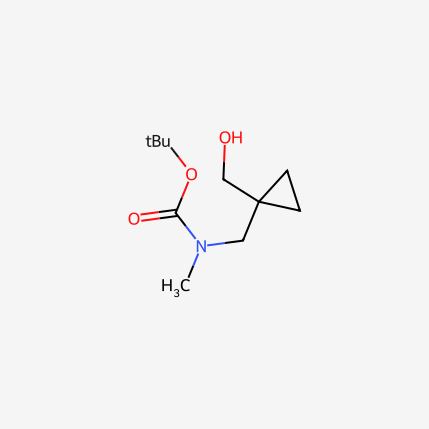 CN(CC1(CO)CC1)C(=O)OC(C)(C)C